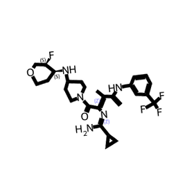 C=C(Nc1cccc(C(F)(F)F)c1)/C(C)=C(\N=C(/N)C1CC1)C(=O)N1CCC(N[C@H]2CCOC[C@H]2F)CC1